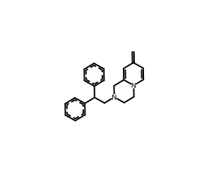 C=C1C=CN2CCN(CC(c3ccccc3)c3ccccc3)CC2=C1